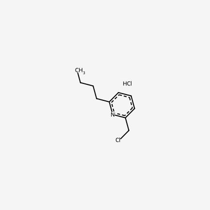 CCCCc1cccc(CCl)n1.Cl